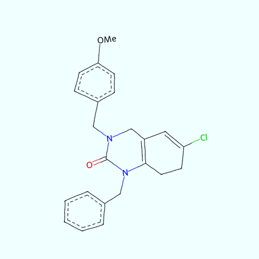 COc1ccc(CN2CC3=C(CCC(Cl)=C3)N(Cc3ccccc3)C2=O)cc1